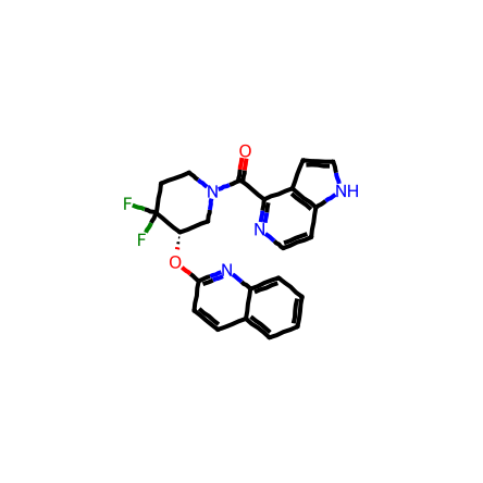 O=C(c1nccc2[nH]ccc12)N1CCC(F)(F)[C@@H](Oc2ccc3ccccc3n2)C1